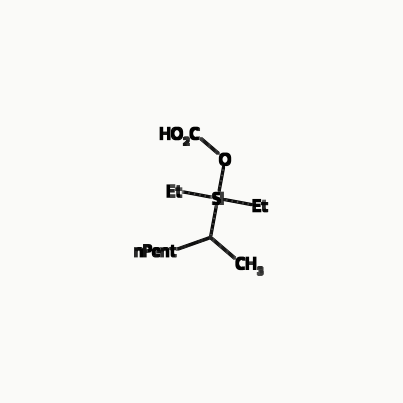 CCCCCC(C)[Si](CC)(CC)OC(=O)O